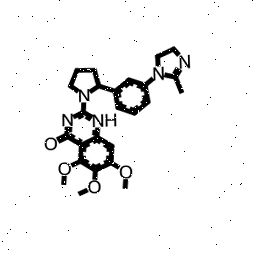 COc1cc2[nH]c(N3CCCC3c3cccc(N4CCN=C4C)c3)nc(=O)c2c(OC)c1OC